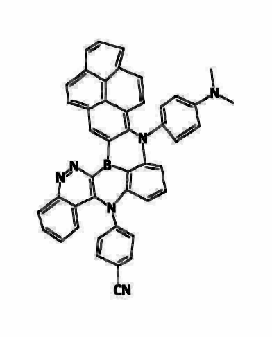 CN(C)c1ccc(N2c3cccc4c3B(c3cc5ccc6cccc7ccc(c32)c5c67)c2nnc3ccccc3c2N4c2ccc(C#N)cc2)cc1